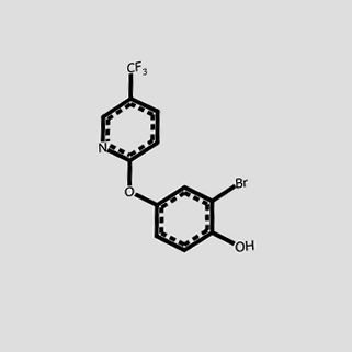 Oc1ccc(Oc2ccc(C(F)(F)F)cn2)cc1Br